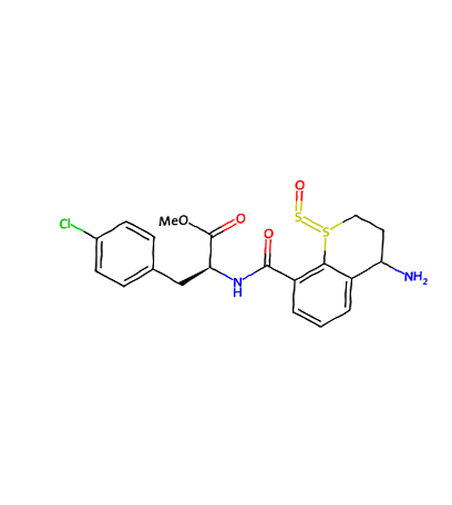 COC(=O)[C@H](Cc1ccc(Cl)cc1)NC(=O)c1cccc2c1S(=S=O)CCC2N